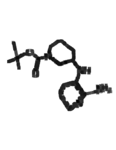 CC(C)(C)OC(=O)N1CCCC(Nc2cccnc2N)C1